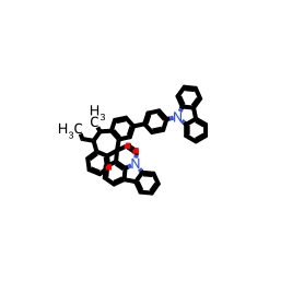 CCC1c2ccccc2C2(c3cc(-c4ccc(-n5c6ccccc6c6ccccc65)cc4)ccc3C1C)c1ccccc1-n1c3ccccc3c3cccc2c31